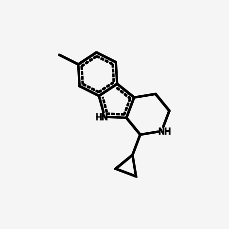 Cc1ccc2c3c([nH]c2c1)C(C1CC1)NCC3